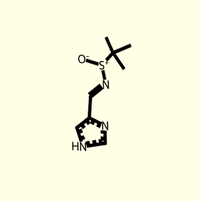 CC(C)(C)[S+]([O-])N=Cc1c[nH]cn1